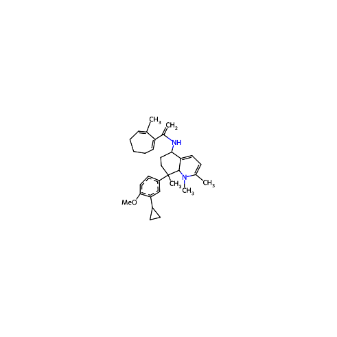 C=C(NC1CCC(C)(c2ccc(OC)c(C3CC3)c2)C2C1=CC=C(C)N2C)C1=CCCCC=C1C